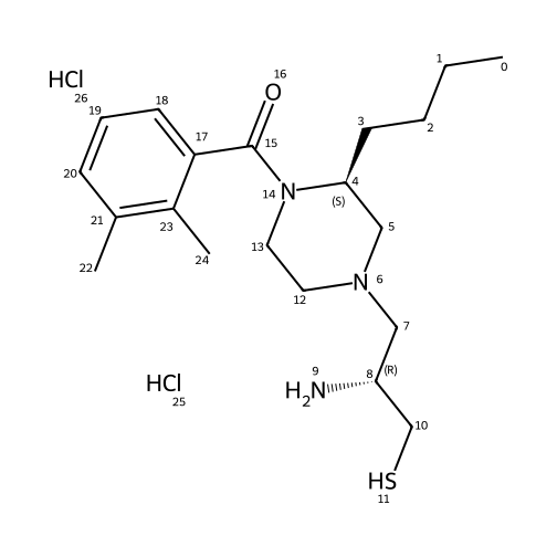 CCCC[C@H]1CN(C[C@@H](N)CS)CCN1C(=O)c1cccc(C)c1C.Cl.Cl